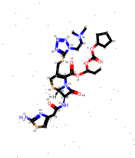 CCC(OC(=O)OC1CCCC1)OC(=O)C1=C(CSc2nnnn2CCN(C)C)CS[C@H]2[C@H](NC(=O)Cc3csc(N)n3)C(=O)N12